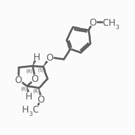 COc1ccc(CO[C@H]2C[C@@H](OC)[C@@H]3OC[C@H]2O3)cc1